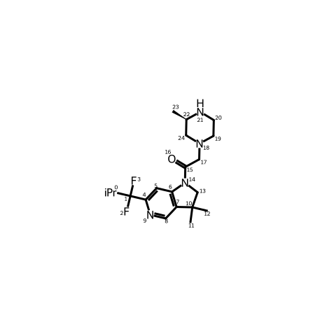 CC(C)C(F)(F)c1cc2c(cn1)C(C)(C)CN2C(=O)CN1CCN[C@H](C)C1